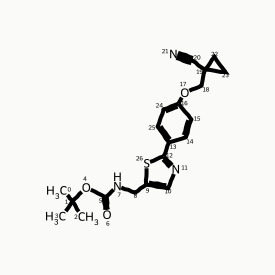 CC(C)(C)OC(=O)NCc1cnc(-c2ccc(OCC3(C#N)CC3)cc2)s1